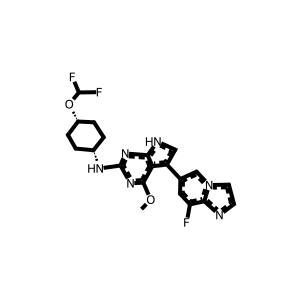 COc1nc(N[C@H]2CC[C@@H](OC(F)F)CC2)nc2[nH]cc(-c3cc(F)c4nccn4c3)c12